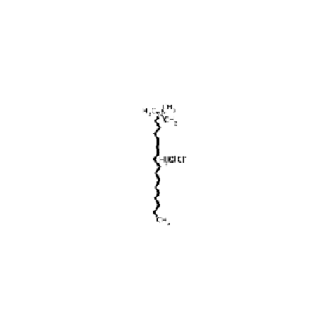 CCCCCCCCCCCCCCCC[N+](C)(C)C.Cl.O.[Cl-]